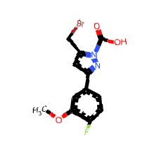 COc1cc(-c2cc(CBr)n(C(=O)O)n2)ccc1F